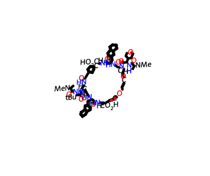 CN[C@@H](C)C(=O)N[C@H](C(=O)N1C[C@@H]2CC1C(=O)N[C@@H](Cc1ccc3ccccc3c1)C(=O)N[C@H](C(=O)O)Cc1ccc(cc1)C(=O)N[C@H]1C[C@@H](C(=O)N[C@@H](Cc3ccc4ccccc4c3)C(=O)N[C@H](C(=O)O)Cc3ccc(cc3)OC/C=C/CO2)N(C(=O)[C@@H](NC(=O)[C@H](C)NC)C(C)(C)C)C1)C1CCOCC1